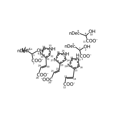 CCCCCCCCCCC(O)C(=O)[O-].CCCCCCCCCCC(O)C(=O)[O-].CCCCCCCCCCC(O)C(=O)[O-].O=C([O-])C=Cc1c[nH]cn1.O=C([O-])C=Cc1c[nH]cn1.O=C([O-])C=Cc1c[nH]cn1.[Mo+6]